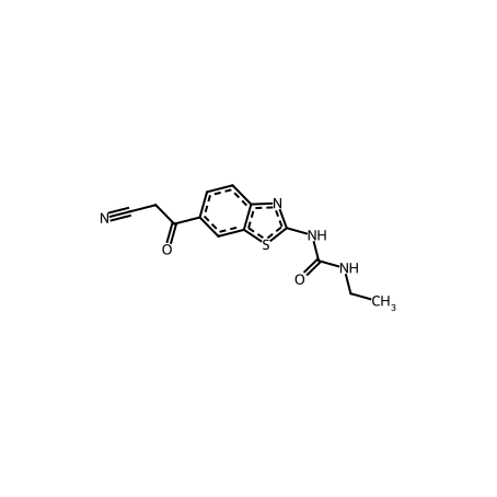 CCNC(=O)Nc1nc2ccc(C(=O)CC#N)cc2s1